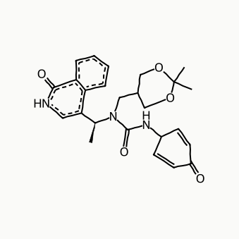 C[C@@H](c1c[nH]c(=O)c2ccccc12)N(CC1COC(C)(C)OC1)C(=O)NC1C=CC(=O)C=C1